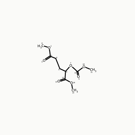 COC(=O)CCC(OC(=O)OC)C(=O)OC